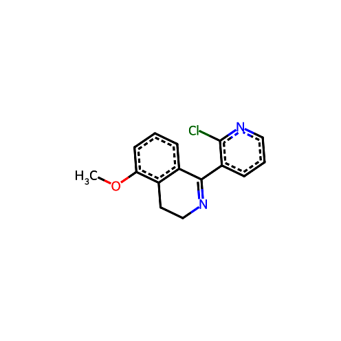 COc1cccc2c1CCN=C2c1cccnc1Cl